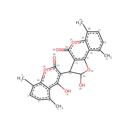 Cc1ccc(C)c2c(O)c(C3c4c(c5c(C)ccc(C)c5oc4=O)OC3O)c(=O)oc12